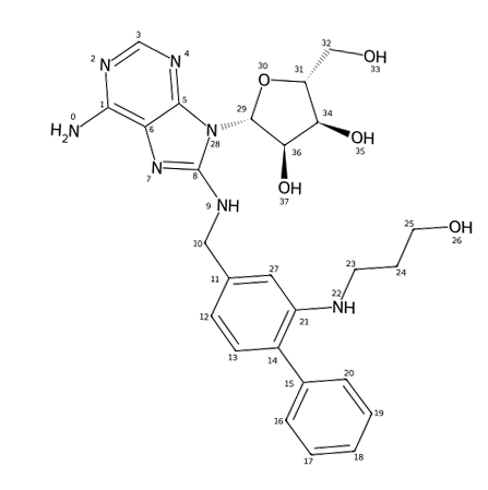 Nc1ncnc2c1nc(NCc1ccc(-c3ccccc3)c(NCCCO)c1)n2[C@@H]1O[C@H](CO)[C@@H](O)[C@H]1O